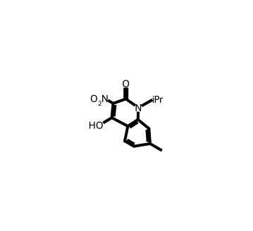 Cc1ccc2c(O)c([N+](=O)[O-])c(=O)n(C(C)C)c2c1